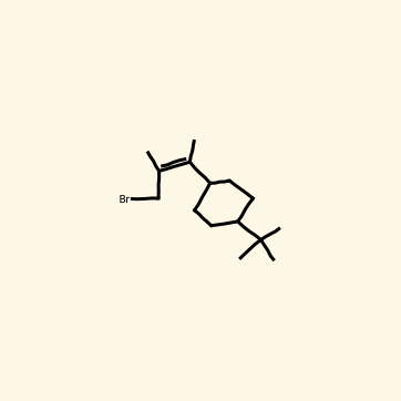 CC(CBr)=C(C)C1CCC(C(C)(C)C)CC1